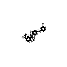 Fc1cccc(COc2ccc(Nc3ncnc4ccc5c(c34)OCCN5)cc2)c1